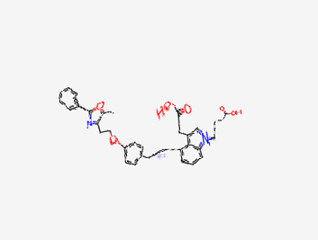 Cc1oc(-c2ccccc2)nc1CCOc1ccc(/C=C/c2cccc3c2c(CC(=O)O)cn3CCCC(=O)O)cc1